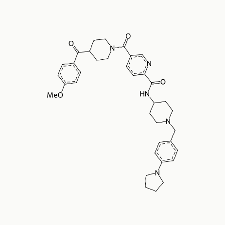 COc1ccc(C(=O)C2CCN(C(=O)c3ccc(C(=O)NC4CCN(Cc5ccc(N6CCCC6)cc5)CC4)nc3)CC2)cc1